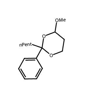 CCCCCC1(c2ccccc2)OCCC(OC)O1